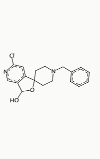 OC1OC2(CCN(Cc3ccccc3)CC2)c2cc(Cl)ncc21